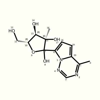 Cc1ncnn2c(C3(O)O[C@H](CO)[C@@H](O)[C@@]3(C)O)ccc12